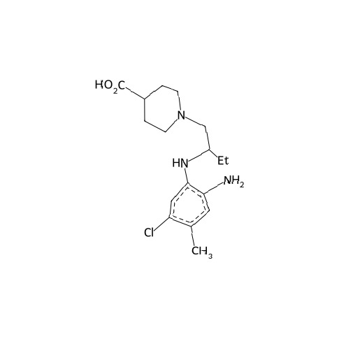 CCC(CN1CCC(C(=O)O)CC1)Nc1cc(Cl)c(C)cc1N